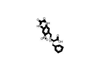 O=C(O)[C@H](Cc1ccccc1)NCc1cc2[nH]c(=O)c(=O)[nH]c2cc1[N+](=O)[O-]